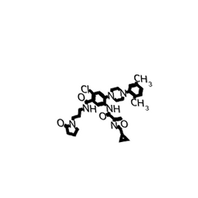 Cc1ccc(C)c(N2CCN(c3cc(Cl)c(C(=O)NCCCN4CCCC4=O)cc3NC(=O)c3coc(C4CC4)n3)CC2)c1